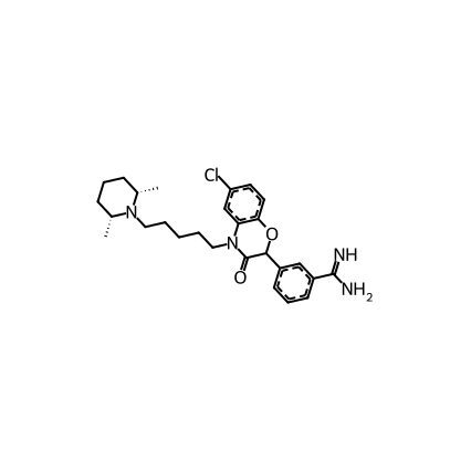 C[C@@H]1CCC[C@H](C)N1CCCCCN1C(=O)C(c2cccc(C(=N)N)c2)Oc2ccc(Cl)cc21